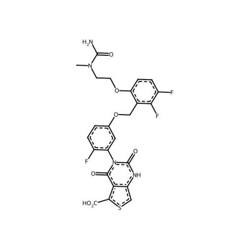 CN(CCOc1ccc(F)c(F)c1COc1ccc(F)c(-n2c(=O)[nH]c3csc(C(=O)O)c3c2=O)c1)C(N)=O